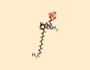 CCCCCCCCCCCCc1ccccc1C[N+](C)(C)CCCCS(=O)(=O)[O-]